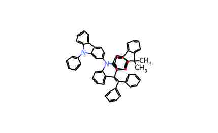 CC1(C)c2ccccc2-c2cc(N(c3ccc4c5ccccc5n(-c5ccccc5)c4c3)c3ccccc3C(=C(c3ccccc3)c3ccccc3)c3ccccc3)ccc21